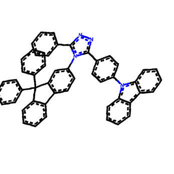 c1ccc(-c2nnc(-c3ccc(-n4c5ccccc5c5ccccc54)cc3)n2-c2ccc3c(c2)C(c2ccccc2)(c2ccccc2)c2ccccc2-3)cc1